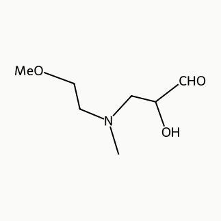 COCCN(C)CC(O)C=O